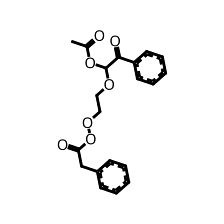 CC(=O)OC(OCCOOC(=O)Cc1ccccc1)C(=O)c1ccccc1